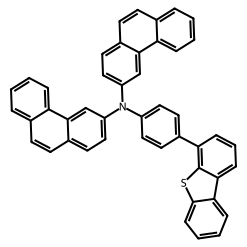 c1ccc2c(c1)ccc1ccc(N(c3ccc(-c4cccc5c4sc4ccccc45)cc3)c3ccc4ccc5ccccc5c4c3)cc12